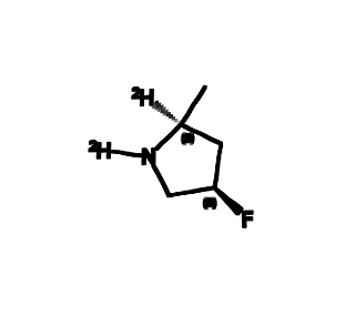 [2H]N1C[C@H](F)C[C@]1([2H])C